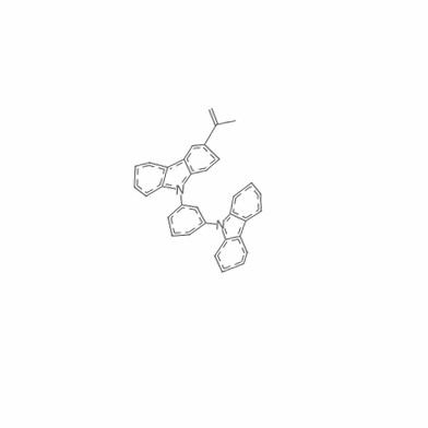 C=C(C)c1ccc2c(c1)c1ccccc1n2-c1cccc(-n2c3ccccc3c3ccccc32)c1